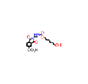 O=C(NCCN1C(=O)c2ccc(C(=O)O)cc2C1=O)OCCCCCCO